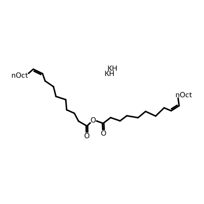 CCCCCCCC/C=C\CCCCCCCC(=O)OC(=O)CCCCCCC/C=C\CCCCCCCC.[KH].[KH]